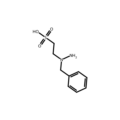 NN(CCS(=O)(=O)O)Cc1ccccc1